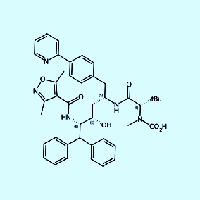 Cc1noc(C)c1C(=O)N[C@@H](C(c1ccccc1)c1ccccc1)[C@@H](O)C[C@H](Cc1ccc(-c2ccccn2)cc1)NC(=O)[C@@H](N(C)C(=O)O)C(C)(C)C